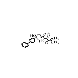 CN(C)C(=O)[C@H](O)[C@@H](O)C(=O)N1CCC(O)(c2ccc(-c3ccccc3)cc2)CC1